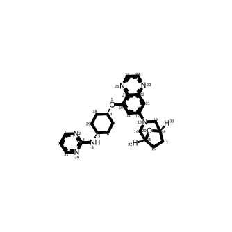 c1cnc(N[C@H]2CC[C@@H](Oc3cc(N4C[C@H]5CC[C@@H](C4)O5)cc4nccnc34)CC2)nc1